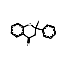 O=C1CC(I)(c2ccccc2)Oc2ccccc21